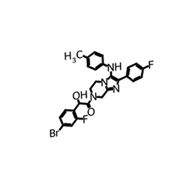 Cc1ccc(Nc2c(-c3ccc(F)cc3)nc3n2CCN(C(=O)C(O)c2ccc(Br)cc2F)C3)cc1